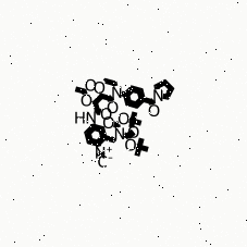 [C-]#[N+]c1ccc(NC(=O)[C@H](OC(C)=O)[C@H]2OCCN(c3ccc(C(=O)N4CCCC4)cc3)C2=O)cc1CN(C(=O)OC(C)(C)C)C(=O)OC(C)(C)C